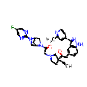 C#CC1(C(=O)Cc2ccc3[nH]nc(-c4ccnc(C)c4)c3c2)CCN(CC(=O)N2CC3CC2CN3c2ncc(F)cn2)C1